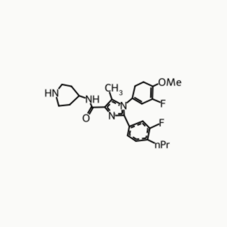 CCCc1ccc(-c2nc(C(=O)NC3CCNCC3)c(C)n2C2=CC(F)=C(OC)CC2)cc1F